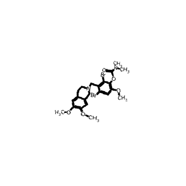 COc1cc2c(cc1OC)CN(Cc1c(Br)cc(OC)c(OC(=O)N(C)C)c1Br)CC2